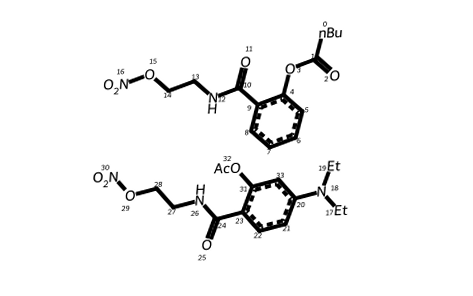 CCCCC(=O)Oc1ccccc1C(=O)NCCO[N+](=O)[O-].CCN(CC)c1ccc(C(=O)NCCO[N+](=O)[O-])c(OC(C)=O)c1